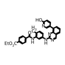 CCOC(=O)c1ccc(C(=O)Nc2cc(Nc3ncc4cccc(-c5ccc(O)nc5)c4n3)ccc2C)cc1